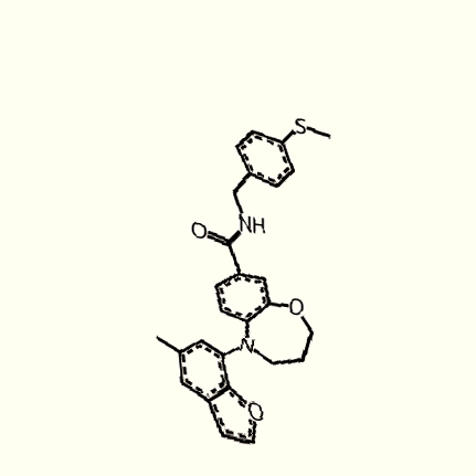 CSc1ccc(CNC(=O)c2ccc3c(c2)OCCCN3c2cc(C)cc3ccoc23)cc1